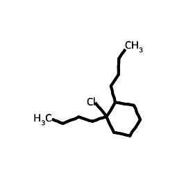 CCCCC1CCCCC1(Cl)CCCC